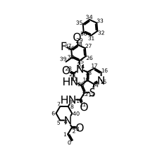 C=CC(=O)N1CCCC(NC(=O)c2sc3nccc4c3c2NC(=O)N4c2ccc(Oc3ccccc3)c(F)c2C)C1